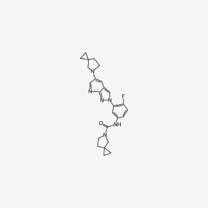 O=C(Nc1ccc(F)c(-n2cc3cc(N4CCC5(CC5)C4)cnc3n2)c1)N1CCC2(CC2)C1